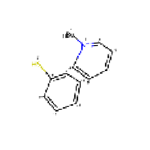 CCCC[n+]1ccccc1.Sc1ccccc1